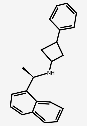 C[C@@H](NC1CC(c2ccccc2)C1)c1cccc2ccccc12